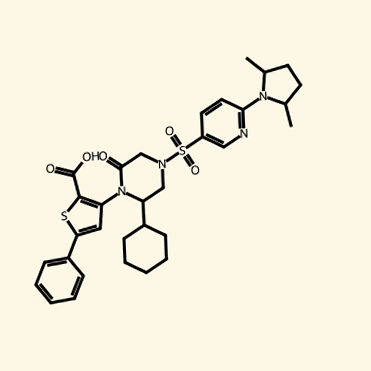 CC1CCC(C)N1c1ccc(S(=O)(=O)N2CC(=O)N(c3cc(-c4ccccc4)sc3C(=O)O)C(C3CCCCC3)C2)cn1